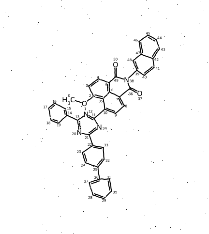 COc1ccc2c3c(ccc(-c4nc(-c5ccccc5)nc(-c5ccc(-c6ccccc6)cc5)n4)c13)C(=O)N(c1ccc3ccccc3c1)C2=O